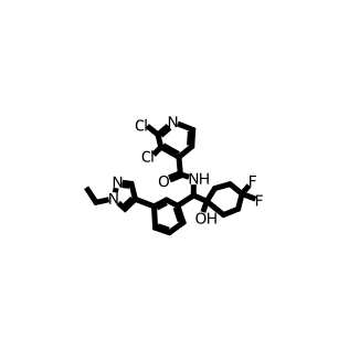 CCn1cc(-c2cccc(C(NC(=O)c3ccnc(Cl)c3Cl)C3(O)CCC(F)(F)CC3)c2)cn1